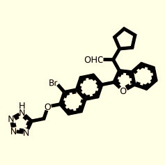 O=CC(c1c(-c2ccc3c(Br)c(OCc4nnn[nH]4)ccc3c2)oc2ccccc12)C1CCCC1